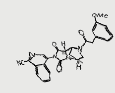 COc1cccc(CC(=O)N2C[C@H]3CC2[C@H]2C(=O)N(c4cnc(C#N)c5ccccc45)C(=O)N32)c1